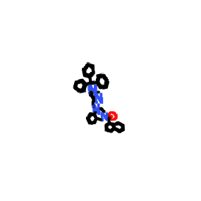 O=C(c1cccc2ccccc12)N1CCN(Cc2cn(C(c3ccccc3)(c3ccccc3)c3ccccc3)cn2)c2ccccc2C1